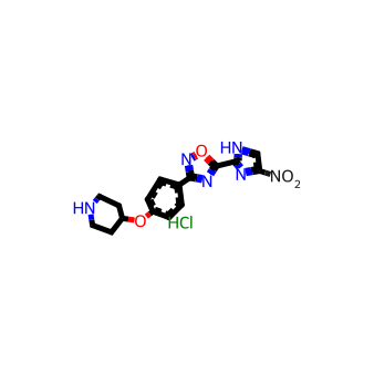 Cl.O=[N+]([O-])c1c[nH]c(-c2nc(-c3ccc(OC4CCNCC4)cc3)no2)n1